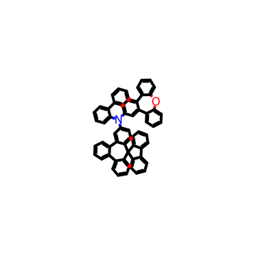 c1ccc(-c2ccccc2N(c2ccc3c(c2)-c2ccccc2Oc2ccccc2-3)c2ccc3c(c2)-c2ccccc2-c2ccccc2C32c3ccccc3-c3ccccc32)cc1